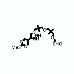 CSc1ncc(C2=CN(CC(C)(C)COCC(C)(C)COCC=O)NN2)cn1